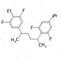 CCc1c(F)cc(C(C)CCC(C)c2c(F)cc(C(C)C)cc2F)cc1F